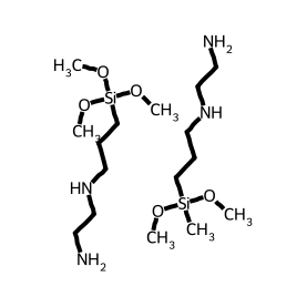 CO[Si](C)(CCCNCCN)OC.CO[Si](CCCNCCN)(OC)OC